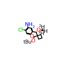 [2H]C([2H])([2H])OC(c1ccc(Cl)c(N)c1)C1(C(=O)OC(C)(C)C)CCC1